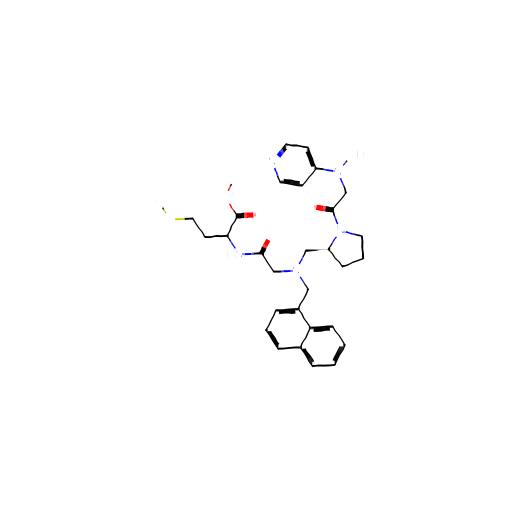 COC(=O)C(CCSC)NC(=O)CN(Cc1cccc2ccccc12)C[C@@H]1CCCN1C(=O)CN(C)c1ccncc1